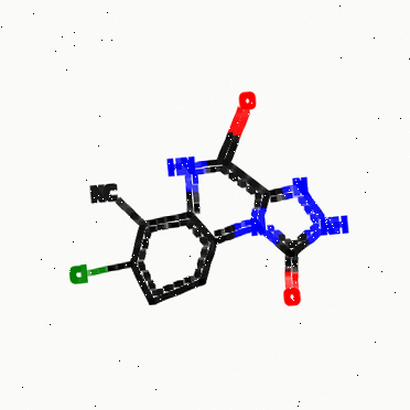 N#Cc1c(Cl)ccc2c1[nH]c(=O)c1n[nH]c(=O)n12